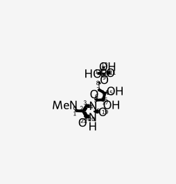 CNCc1cn([C@@H]2O[C@H](COP(=O)(O)O)[C@@H](O)[C@H]2O)c(=O)[nH]c1=O